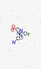 COC(=O)c1ccc2nc(-c3ccc(F)cc3)c(N3CCCc4cc(C#N)ccc43)nc2c1